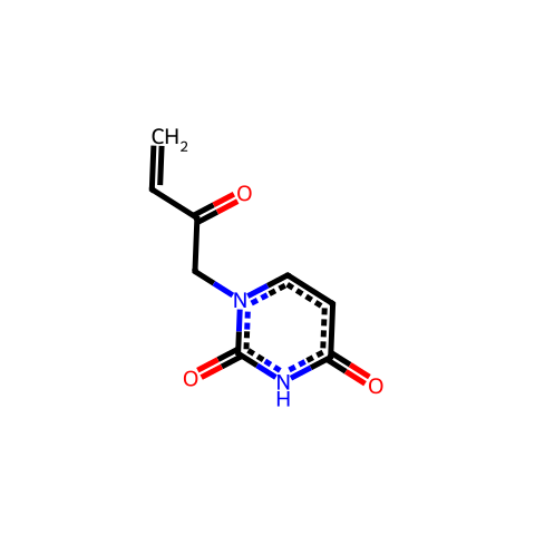 C=CC(=O)Cn1ccc(=O)[nH]c1=O